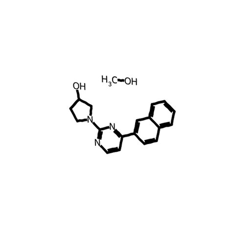 CO.OC1CCN(c2nccc(-c3ccc4ccccc4c3)n2)C1